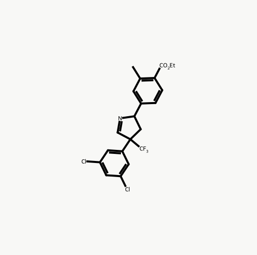 CCOC(=O)c1ccc(C2CC(c3cc(Cl)cc(Cl)c3)(C(F)(F)F)C=N2)cc1C